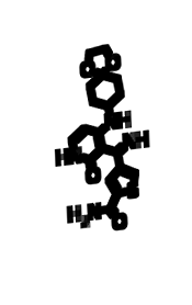 N=C(c1csc(C(N)=O)c1)c1c(NC2CCC3(CC2)OCCO3)cc[nH]c1=O